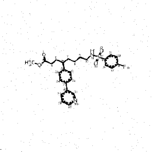 COC(=O)CCC(CCCCNS(=O)(=O)c1ccc(F)cc1)c1ccc(-c2cccnc2)cc1